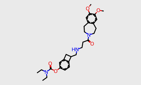 CCN(CC)C(=O)Oc1ccc2c(c1)CC2CNCCC(=O)N1CCc2cc(OC)c(OC)cc2CC1